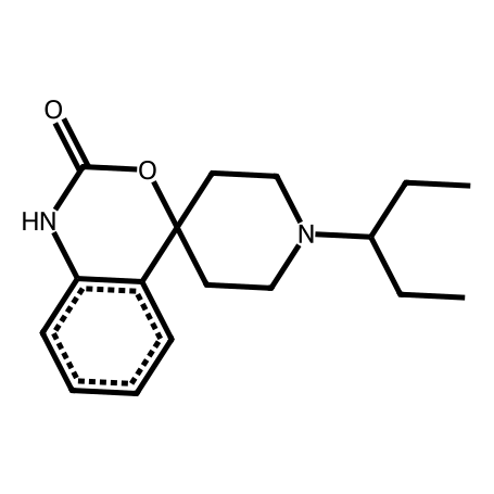 CCC(CC)N1CCC2(CC1)OC(=O)Nc1ccccc12